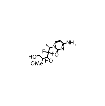 COC(CO)[C@H](O)C(F)(F)[C@@H](C)n1ccc(N)nc1=O